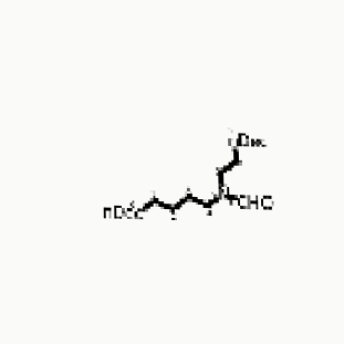 CCCCCCCCCCCCCCN(C=O)CCCCCCCCCCCC